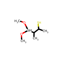 CO[SiH](OC)C(C)C(C)S